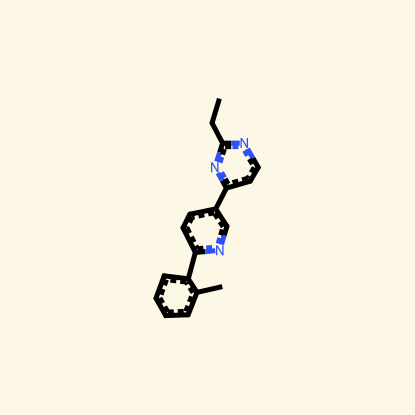 CCc1nccc(-c2ccc(-c3ccccc3C)nc2)n1